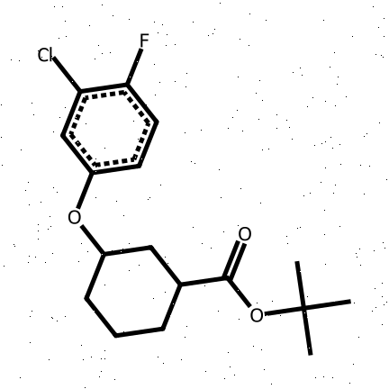 CC(C)(C)OC(=O)C1CCCC(Oc2ccc(F)c(Cl)c2)C1